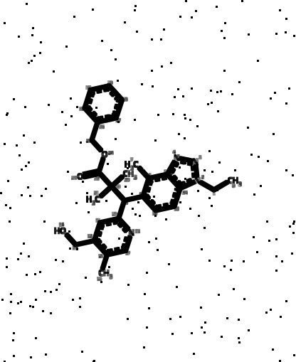 CCn1nnc2c(C)c(C(c3cc(CO)c(C)cn3)C(C)(C)C(=O)OCc3ccccc3)ccc21